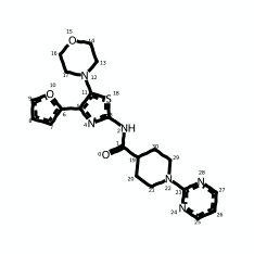 O=C(Nc1nc(-c2ccco2)c(N2CCOCC2)s1)C1CCN(c2ncccn2)CC1